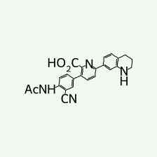 CC(=O)Nc1ccc(-c2ccc(-c3ccc4c(c3)NCCC4)nc2C(=O)O)cc1C#N